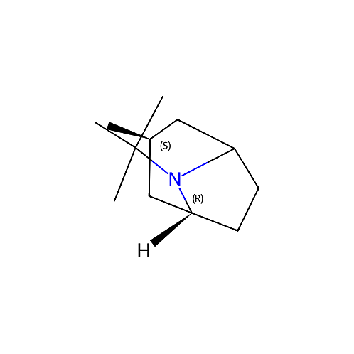 C[C@H]1CC2CC[C@H](C1)N2C(C)(C)C